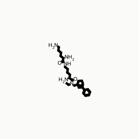 CCN(CC12CCC(C1)C(c1ccccc1)C2)C(=O)[C@@H](N)CCCCNC(=O)[C@@H](N)CCCCN